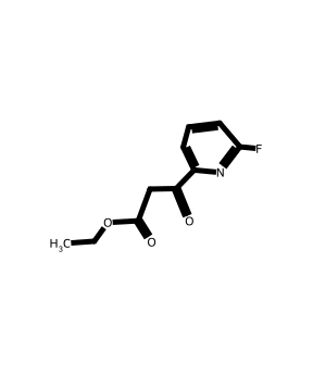 CCOC(=O)CC(=O)c1cccc(F)n1